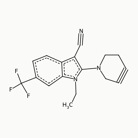 CCn1c(N2CC#CCC2)c(C#N)c2ccc(C(F)(F)F)cc21